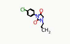 C=CCN1CC(=O)N(c2ccc(Cl)cc2)C1=O